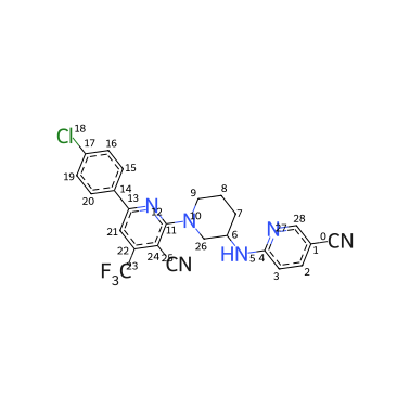 N#Cc1ccc(NC2CCCN(c3nc(-c4ccc(Cl)cc4)cc(C(F)(F)F)c3C#N)C2)nc1